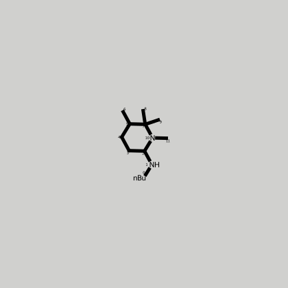 CCCCNC1CCC(C)C(C)(C)N1C